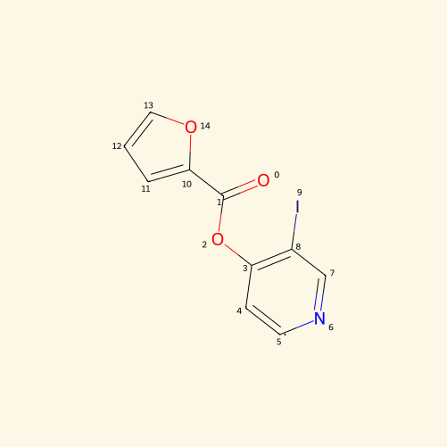 O=C(Oc1c[c]ncc1I)c1ccco1